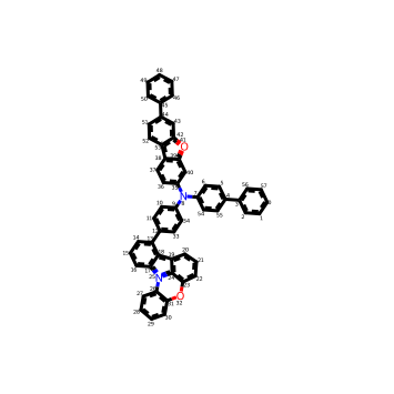 c1ccc(-c2ccc(N(c3ccc(-c4cccc5c4c4cccc6c4n5-c4ccccc4O6)cc3)c3ccc4c(c3)oc3cc(-c5ccccc5)ccc34)cc2)cc1